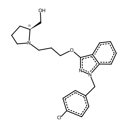 OC[C@@H]1CCCN1CCCOc1nn(Cc2ccc(Cl)cc2)c2ccccc12